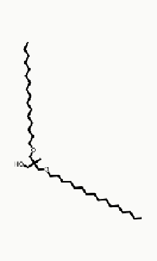 CCCCCCCCCCCCCCCCOCC(C)(CO)COCCCCCCCCCCCCCCCC